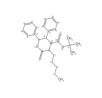 CCCCCC1C(=O)OC(c2ccccc2)C(c2ccccc2)N1C(=O)OC(C)(C)C